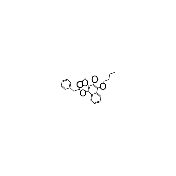 CCCCOc1c(OC)c(OC)c(OC(=O)Cc2ccccc2)c2ccccc12